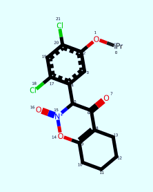 CC(C)Oc1cc(C2C(=O)C3=C(CCCC3)O[N+]2=O)c(Cl)cc1Cl